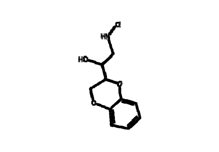 OC(CNCl)C1COc2ccccc2O1